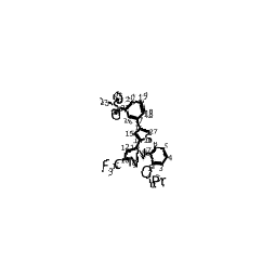 CC(C)Oc1ccccc1-n1nc(C(F)(F)F)cc1-c1cc(-c2cccc(S(C)(=O)=O)c2)cs1